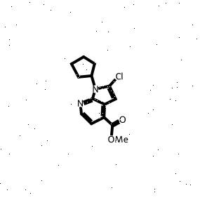 COC(=O)c1ccnc2c1cc(Cl)n2C1CCCC1